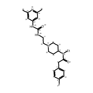 CCN(C(=O)Cc1ccc(F)cc1)C1CCN(CCNC(=O)Nc2cc(C)nc(C)c2)CC1